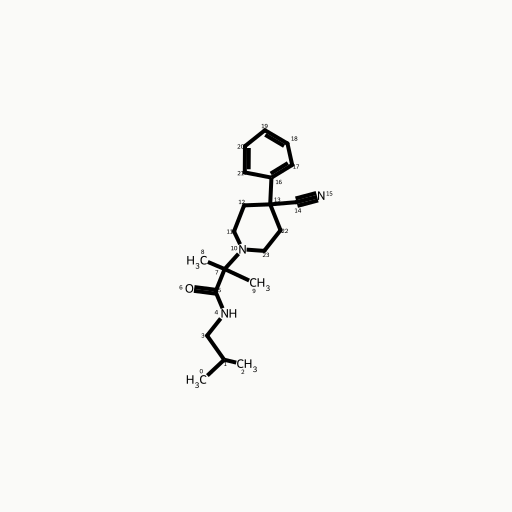 CC(C)CNC(=O)C(C)(C)N1CCC(C#N)(c2ccccc2)CC1